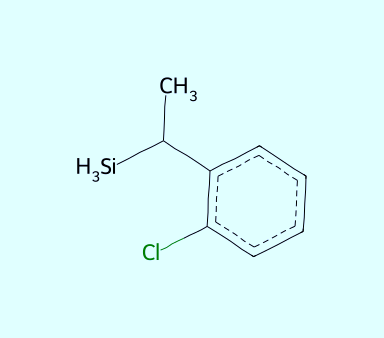 CC([SiH3])c1ccccc1Cl